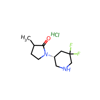 CC1CCN([C@H]2CNCC(F)(F)C2)C1=O.Cl